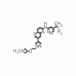 CC(C)c1cnnc(Nc2ccc3ncc(-c4cnn(CCOC5CN(C)C5)c4)cc3n2)c1